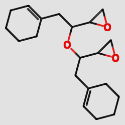 C1=C(CC(OC(CC2=CCCCC2)C2CO2)C2CO2)CCCC1